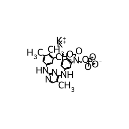 Cc1cnc(Nc2cc(C)c(C)c(C)c2)nc1Nc1ccc2oc(=O)n(COP(=O)([O-])[O-])c2c1.[K+].[K+]